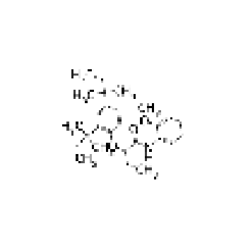 CCC(Oc1ccc(C(C)(C)CC)cc1C(C)(C)CC)C(=O)Nc1c[c]ccc1OC